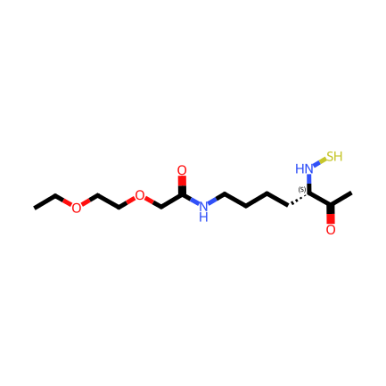 CCOCCOCC(=O)NCCCC[C@H](NS)C(C)=O